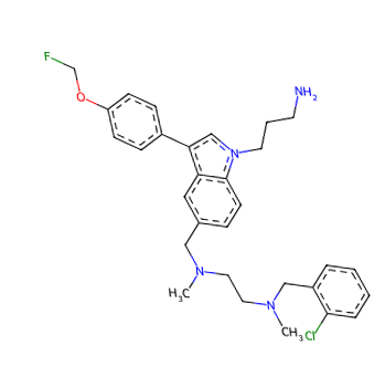 CN(CCN(C)Cc1ccccc1Cl)Cc1ccc2c(c1)c(-c1ccc(OCF)cc1)cn2CCCN